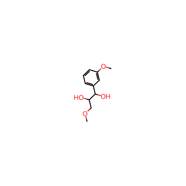 COCC(O)C(O)c1cccc(OC)c1